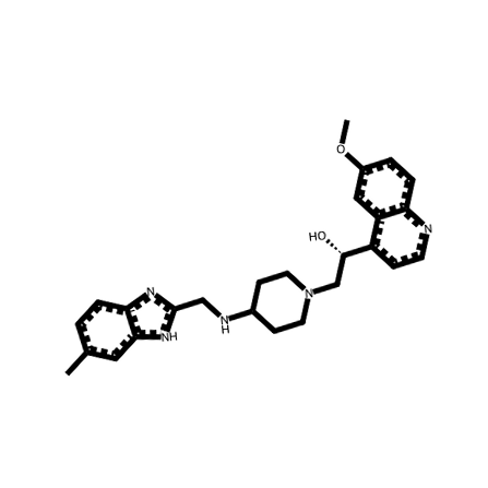 COc1ccc2nccc([C@@H](O)CN3CCC(NCc4nc5ccc(C)cc5[nH]4)CC3)c2c1